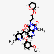 Cn1c(=O)n(CCCOC2CCCCO2)c(=O)c2c(C(O)c3ccc(C(F)(F)F)nc3)c(Oc3cccc(OC(F)(F)F)c3)cnc21